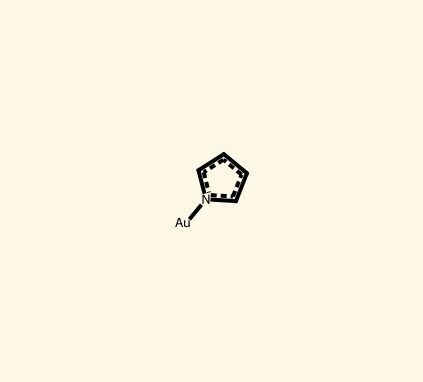 [Au][n]1cccc1